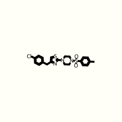 Cc1ccc(S(=O)(=O)N2CCN(c3nc(Cc4ccc(Cl)cc4)cs3)CC2)cc1